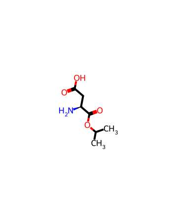 CC(C)OC(=O)[C@@H](N)CC(=O)O